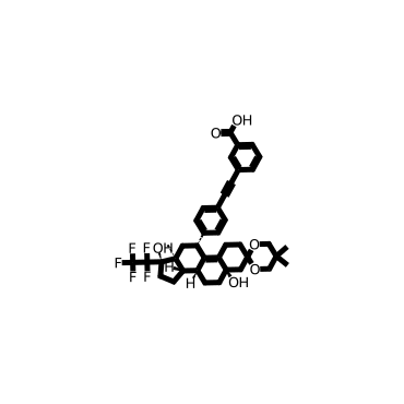 CC1(C)COC2(CCC3=C4[C@@H](CC[C@@]3(O)C2)[C@@H]2CC[C@@](O)(C(F)(F)C(F)(F)F)[C@@]2(C)C[C@@H]4c2ccc(C#Cc3cccc(C(=O)O)c3)cc2)OC1